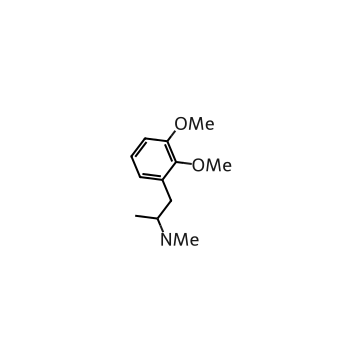 CNC(C)Cc1cccc(OC)c1OC